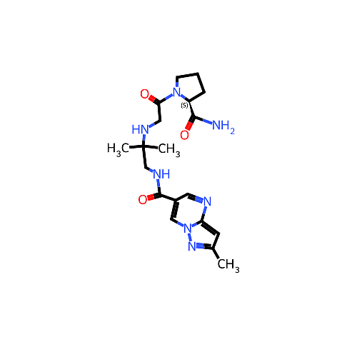 Cc1cc2ncc(C(=O)NCC(C)(C)NCC(=O)N3CCC[C@H]3C(N)=O)cn2n1